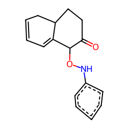 O=C1CCC2CC=CC=C2C1ONc1ccccc1